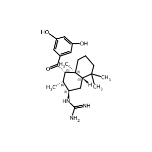 C[C@H]1[C@H](NC(=N)N)C[C@H]2C(C)(C)CCC[C@]2(C)[C@H]1C(=O)c1cc(O)cc(O)c1